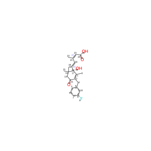 CC1=C(Cc2cccc(F)c2)C(=O)CC(C)(C)[C@@]1(O)/C=C/C(C)=C\C(=O)O